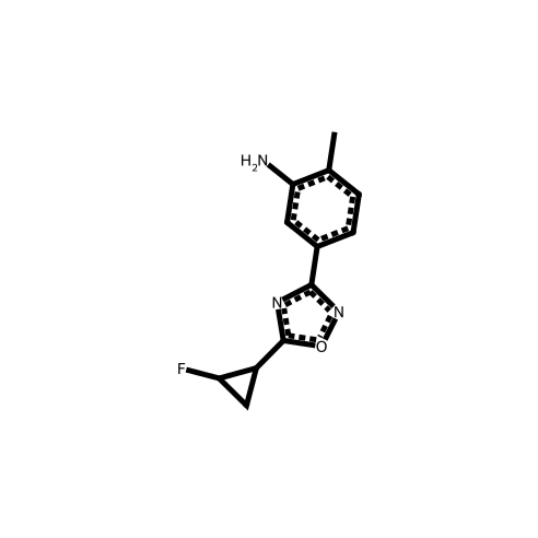 Cc1ccc(-c2noc(C3CC3F)n2)cc1N